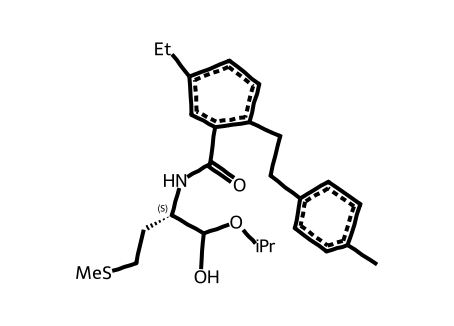 CCc1ccc(CCc2ccc(C)cc2)c(C(=O)N[C@@H](CCSC)C(O)OC(C)C)c1